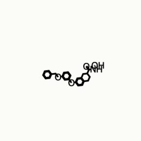 O=C(NO)C1CCc2ccc(Oc3cccc(OCc4ccccc4)c3)cc2C1